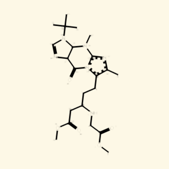 COC(=O)CNC(CCc1c(C)nc2n1C(=O)C1N=CN(C(C)(C)C)C1N2C)CC(=O)OC